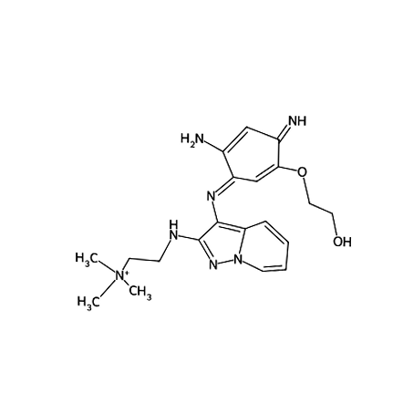 C[N+](C)(C)CCNc1nn2ccccc2c1N=C1C=C(OCCO)C(=N)C=C1N